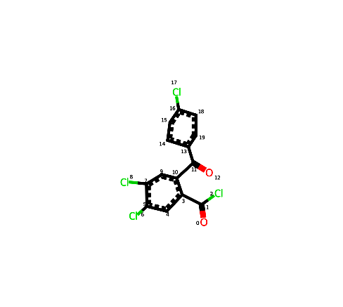 O=C(Cl)c1cc(Cl)c(Cl)cc1C(=O)c1ccc(Cl)cc1